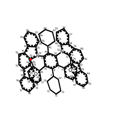 Fc1ccccc1-c1c(C2CCCCC2)c(-c2ccccc2F)c(-n2c3ccccc3c3ccc4c5ccccc5oc4c32)c(C2CCCCC2)c1-n1c2ccccc2c2ccc3c4ccccc4oc3c21